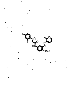 COc1ccc(NC(=O)CNc2ccc(F)cc2F)cc1N=NC1=CC=COC1C